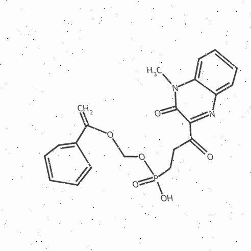 C=C(OCOP(=O)(O)CCC(=O)c1nc2ccccc2n(C)c1=O)c1ccccc1